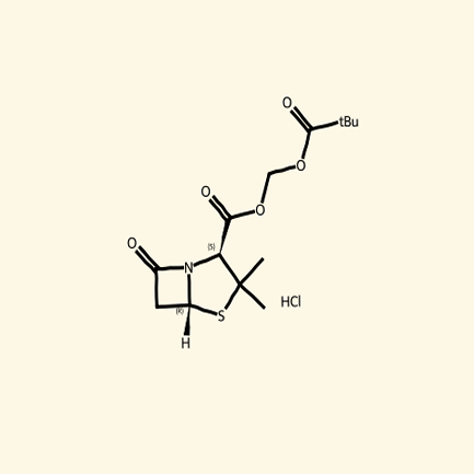 CC(C)(C)C(=O)OCOC(=O)[C@@H]1N2C(=O)C[C@H]2SC1(C)C.Cl